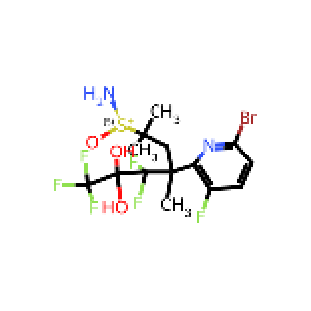 CC(C)(CC(C)(c1nc(Br)ccc1F)C(F)(F)C(O)(O)C(F)(F)F)[S@+](N)[O-]